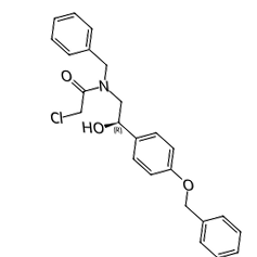 O=C(CCl)N(Cc1ccccc1)C[C@H](O)c1ccc(OCc2ccccc2)cc1